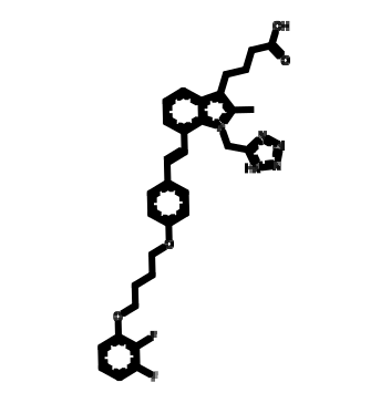 Cc1c(CCCC(=O)O)c2cccc(C=Cc3ccc(OCCCCOc4cccc(F)c4F)cc3)c2n1Cc1nnn[nH]1